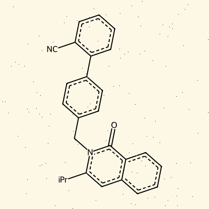 CC(C)c1cc2ccccc2c(=O)n1Cc1ccc(-c2ccccc2C#N)cc1